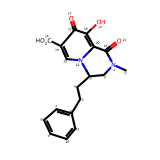 CN1CC(CCc2ccccc2)n2cc(C(=O)O)c(=O)c(O)c2C1=O